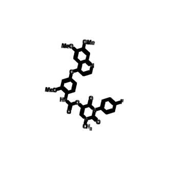 COc1cc(Oc2ccnc3cc(OC)c(OC)cc23)ccc1NC(=O)Oc1cn(C)c(=O)n(-c2ccc(F)cc2)c1=O